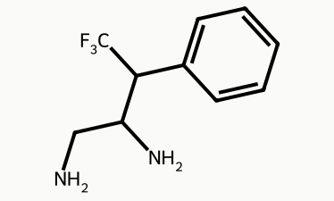 NCC(N)C(c1ccccc1)C(F)(F)F